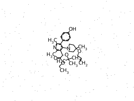 C=CCOC1(C)CCN(c2c(-c3ccc(O)cc3)c(C)nc(C)c2[C@H](OC(C)(C)C)C(=O)OCC)CC1